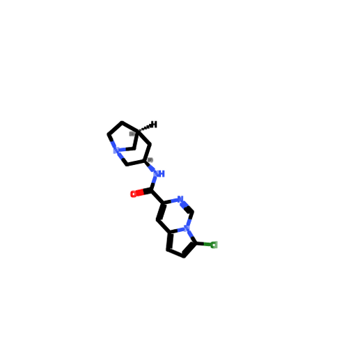 O=C(N[C@@H]1C[C@@H]2CCN(C2)C1)c1cc2ccc(Cl)n2cn1